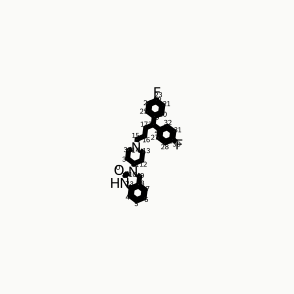 O=C1Nc2ccccc2CN1C1CCN(CCCC(c2ccc(F)cc2)c2ccc(F)cc2)CC1